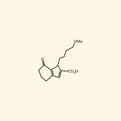 CCOC(=O)c1cc2c(n1CCCCOC)C(=O)CCC2